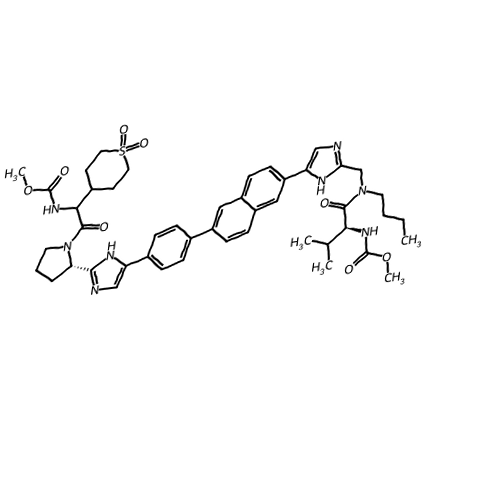 CCCCN(Cc1ncc(-c2ccc3cc(-c4ccc(-c5cnc([C@@H]6CCCN6C(=O)C(NC(=O)OC)C6CCS(=O)(=O)CC6)[nH]5)cc4)ccc3c2)[nH]1)C(=O)[C@@H](NC(=O)OC)C(C)C